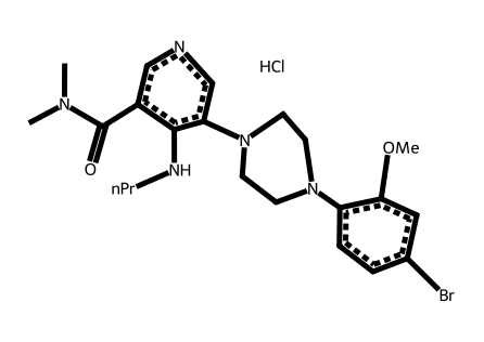 CCCNc1c(C(=O)N(C)C)cncc1N1CCN(c2ccc(Br)cc2OC)CC1.Cl